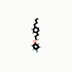 CCCCC1CCC(CCCOc2ccc(F)cc2)CC1